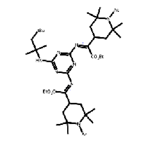 CCOC(=O)/C(=N\c1nc(/N=C(\C(=O)OCC)C2CC(C)(C)N(C(C)=O)C(C)(C)C2)nc(NC(C)(C)CC(C)(C)C)n1)C1CC(C)(C)N(C(C)=O)C(C)(C)C1